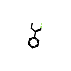 CC/C(=C\F)c1ccccc1